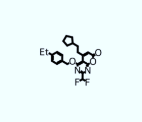 CCc1ccc(COc2nc(C(F)F)nc3oc(=O)cc(CCC4CCCC4)c23)cc1